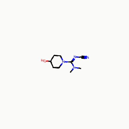 CN(C)C(=NC#N)N1CCC(O)CC1